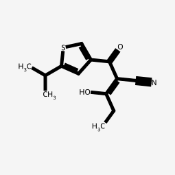 CCC(O)=C(C#N)C(=O)c1csc(C(C)C)c1